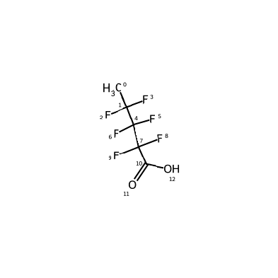 CC(F)(F)C(F)(F)C(F)(F)C(=O)O